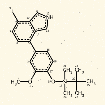 COc1cc(-c2ccc(I)c3c[nH]cc23)ccc1O[Si](C)(C)C(C)(C)C